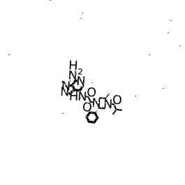 CC(C)C(=O)N1C[C@H](c2ccccc2)N(C(=O)C(=O)Nc2cnc(N)c3c2cnn3C)C[C@H]1C